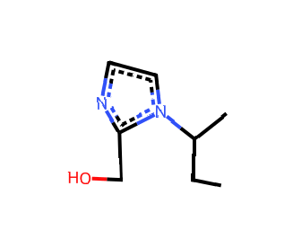 CCC(C)n1ccnc1CO